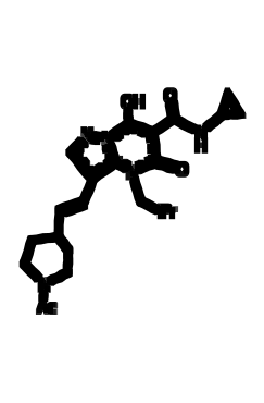 CC(=O)N1CCC(/C=C/c2cnn3c(O)c(C(=O)NC4CC4)c(=O)n(CC(C)C)c23)CC1